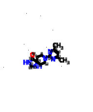 Cc1cc(C)nc(N2CCC3(CC2)NCNC3=O)n1